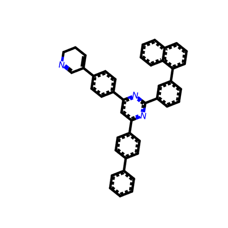 C1=NCCC=C1c1ccc(-c2cc(-c3ccc(-c4ccccc4)cc3)nc(-c3cccc(-c4cccc5ccccc45)c3)n2)cc1